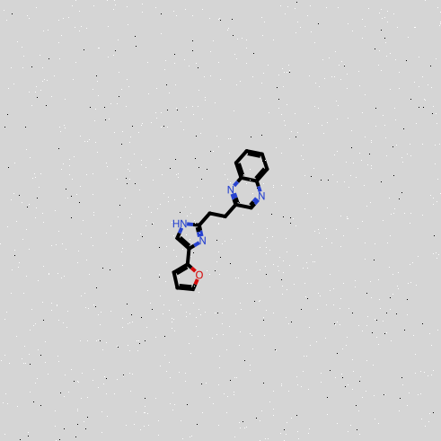 c1coc(-c2c[nH]c(CCc3cnc4ccccc4n3)n2)c1